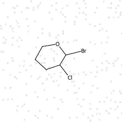 ClC1[CH]CCOC1Br